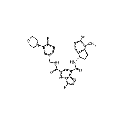 CC(=O)c1ccc2c(c1C)CC[C@@H]2NC(=O)c1cc(C(=O)NCc2ccc(F)c(N3CCOCC3)c2)nc2c(F)cnn12